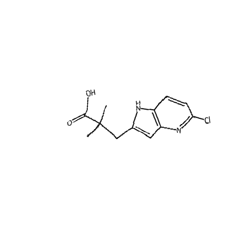 CC(C)(Cc1cc2nc(Cl)ccc2[nH]1)C(=O)O